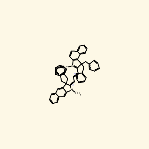 CN1/C(=C/C=C/C2=[N+](C)c3ccc4ccccc4c3C2(Cc2ccccc2)Cc2ccccc2)C(Cc2ccccc2)(Cc2ccccc2)c2cc3ccccc3cc21